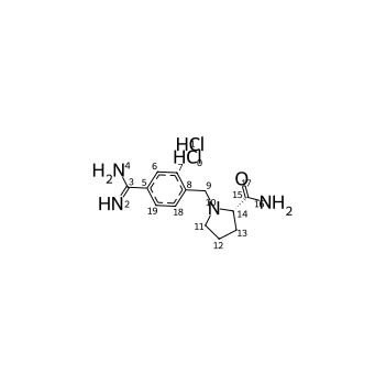 Cl.Cl.N=C(N)c1ccc(CN2CCC[C@H]2C(N)=O)cc1